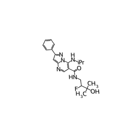 CC(C)Nc1c(C(=O)NCC(F)C(C)(C)O)cnc2cc(-c3ccccc3)nn12